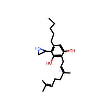 CCCCCc1cc(O)c(C/C=C(\C)CCC=C(C)C)c(O)c1C1CN1